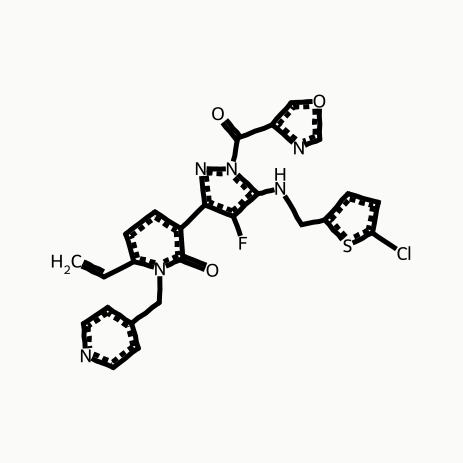 C=Cc1ccc(-c2nn(C(=O)c3cocn3)c(NCc3ccc(Cl)s3)c2F)c(=O)n1Cc1ccncc1